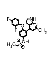 CCS(=O)(=O)Nc1ccc(Oc2ccc(F)cc2F)c(-c2cc(C)nc3c2CCN3)c1